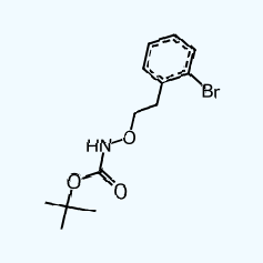 CC(C)(C)OC(=O)NOCCc1ccccc1Br